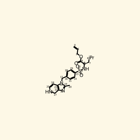 C=CCOC(=O)[C@@H](CC(C)C)NS(=O)(=O)c1ccc(Cn2c(C)nc3c2C=CNC3)cc1